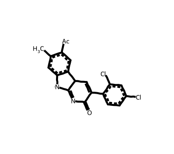 CC(=O)c1cc2c(cc1C)[N]C1=NC(=O)C(c3ccc(Cl)cc3Cl)=CC12